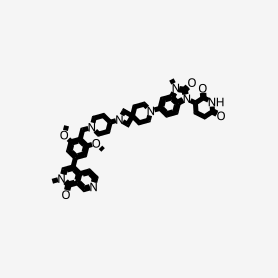 COc1cc(-c2cn(C)c(=O)c3cnccc23)cc(OC)c1CN1CCC(N2CC3(CCN(c4ccc5c(c4)n(C)c(=O)n5C4CCC(=O)NC4=O)CC3)C2)CC1